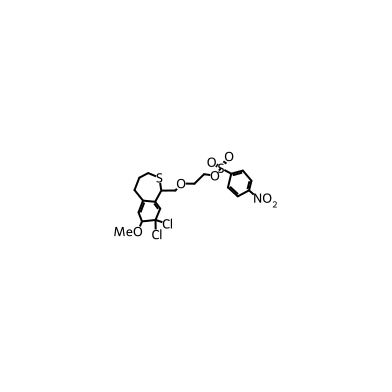 COC1C=C2CCCSC(COCCOS(=O)(=O)c3ccc([N+](=O)[O-])cc3)C2=CC1(Cl)Cl